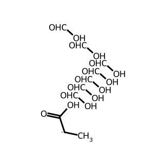 C[CH]C(=O)O.O=CO.O=CO.O=CO.O=CO.O=CO.O=CO.O=CO